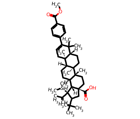 C=C(C)[C@@]1([SiH](C)C)C(C(C)(C)C)C[C@@]2(C(=O)O)CC[C@]3(C)[C@H](CC[C@@H]4[C@@]5(C)CC=C(c6ccc(C(=O)OC)cc6)C(C)(C)[C@@H]5CC[C@]43C)[C@H]21